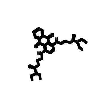 CCN(CC)C(=O)CCCNc1ccc(NCCCC(=O)N(CC)CC)c2c1C(=O)c1ccccc1C2=O